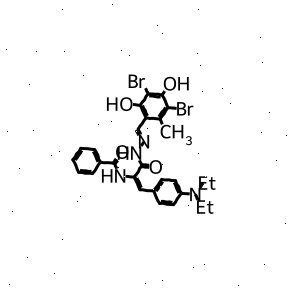 CCN(CC)c1ccc(/C=C(/NC(=O)c2ccccc2)C(=O)N/N=C/c2c(C)c(Br)c(O)c(Br)c2O)cc1